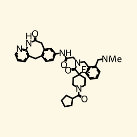 CCC1(C(=O)N(CC(=O)Nc2ccc3c(c2)CC(=O)Nc2ncccc2C3)Cc2ccccc2CNC)CCN(C(=O)C2CCCC2)CC1